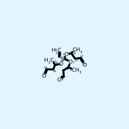 C=C[Si](OC(C)CC=O)(OC(C)CC=O)OC(C)CC=O